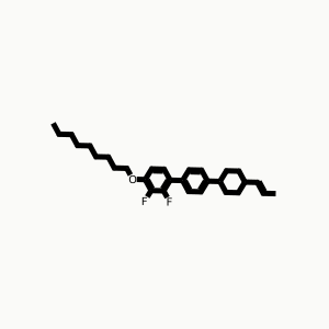 C/C=C/C1CCC(c2ccc(-c3ccc(OCCCCCCCCC)c(F)c3F)cc2)CC1